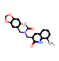 CC(=O)N(Cc1ccc2c(c1)OCO2)Cc1cc2cccc(C)c2[nH]c1=O